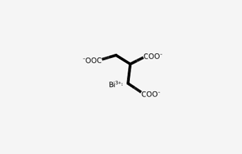 O=C([O-])CC(CC(=O)[O-])C(=O)[O-].[Bi+3]